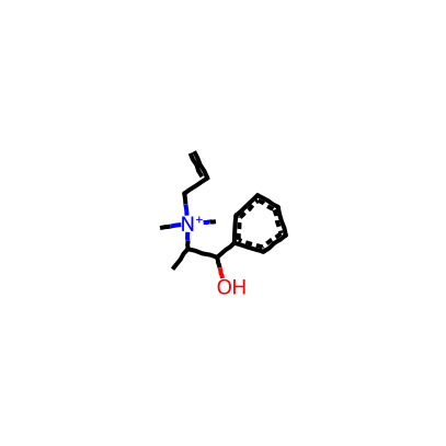 C=CC[N+](C)(C)C(C)C(O)c1ccccc1